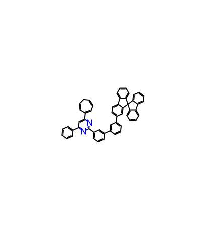 C1=CCC=CC(c2cc(-c3ccccc3)nc(-c3cccc(-c4cccc(-c5ccc6c(c5)C5(c7ccccc7-c7ccccc75)c5ccccc5-6)c4)c3)n2)=C1